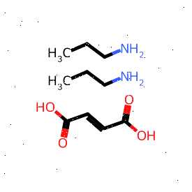 CCCN.CCCN.O=C(O)/C=C/C(=O)O